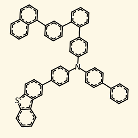 c1ccc(-c2ccc(N(c3ccc(-c4ccc5sc6ccccc6c5c4)cc3)c3ccc(-c4ccccc4-c4cccc(-c5cccc6ccccc56)c4)cc3)cc2)cc1